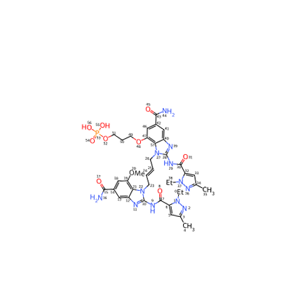 CCn1nc(C)cc1C(=O)Nc1nc2cc(C(N)=O)cc(OC)c2n1CC=CCn1c(NC(=O)c2cc(C)nn2CC)nc2cc(C(N)=O)cc(OCCCOP(=O)(O)O)c21